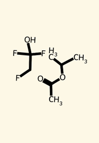 CC(=O)OC(C)C.OC(F)(F)CF